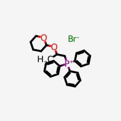 CC(C[P+](c1ccccc1)(c1ccccc1)c1ccccc1)OC1CCCCO1.[Br-]